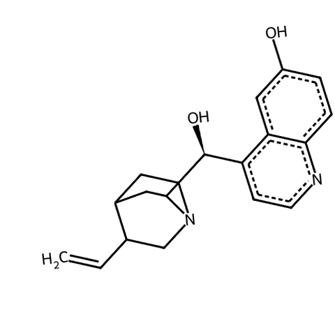 C=CC1CN2CCC1CC2[C@@H](O)c1ccnc2ccc(O)cc12